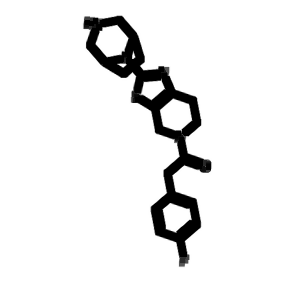 O=C(Cc1ccc(F)cc1)N1CCc2nc(N3C4CCC3CNC4)sc2C1